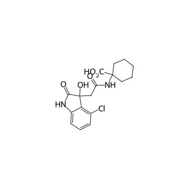 O=C(CC1(O)C(=O)Nc2cccc(Cl)c21)NC1(C(=O)O)CCCCC1